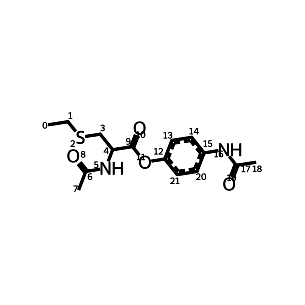 CCSCC(NC(C)=O)C(=O)Oc1ccc(NC(C)=O)cc1